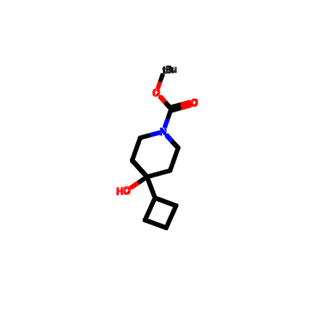 CC(C)(C)OC(=O)N1CCC(O)(C2CCC2)CC1